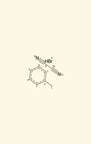 Br.Cc1ccccc1.N#CC#N